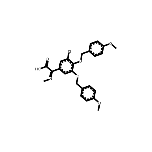 CN=C(C(=O)O)c1cc(Cl)c(OCc2ccc(OC)cc2)c(OCc2ccc(OC)cc2)c1